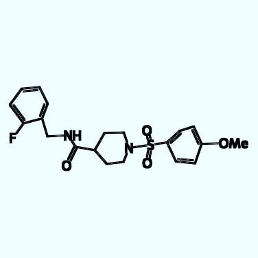 COc1ccc(S(=O)(=O)N2CCC(C(=O)NCc3ccccc3F)CC2)cc1